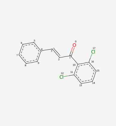 O=C(C=Cc1ccccc1)c1c(Cl)cccc1Cl